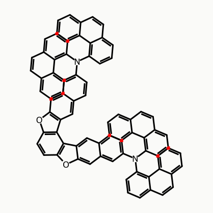 c1ccc2c(c1)ccc1cccc(N(c3ccc4cc5c(cc4c3)oc3ccc4oc6cc7cc(N(c8cccc9ccc%10ccccc%10c89)c8cccc9ccc%10ccccc%10c89)ccc7cc6c4c35)c3cccc4ccc5ccccc5c34)c12